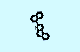 c1ccc2c(-c3ccc4c(ccc5ccccc54)n3)cccc2c1